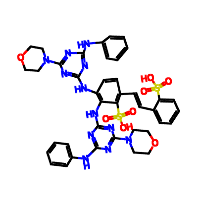 O=S(=O)(O)c1ccccc1C=Cc1ccc(Nc2nc(Nc3ccccc3)nc(N3CCOCC3)n2)c(Nc2nc(Nc3ccccc3)nc(N3CCOCC3)n2)c1S(=O)(=O)O